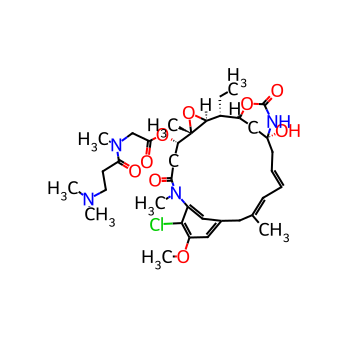 CC[C@@H]1[C@@H]2C[C@](O)(C/C=C/C=C(\C)Cc3cc(OC)c(Cl)c(c3)N(C)C(=O)C[C@H](OC(=O)CN(C)C(=O)CCN(C)C)[C@]3(C)O[C@@H]13)NC(=O)O2